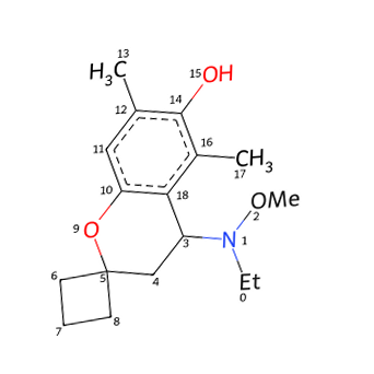 CCN(OC)C1CC2(CCC2)Oc2cc(C)c(O)c(C)c21